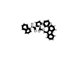 O=C(N[C@@H]1CCCc2ccccc21)[C@@H]1CC[C@@H](c2ccccc2)N1C(=O)OCC1c2ccccc2-c2ccccc21